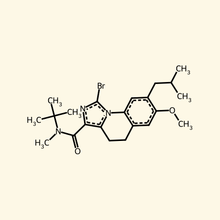 COc1cc2c(cc1CC(C)C)-n1c(Br)nc(C(=O)N(C)C(C)(C)C)c1CC2